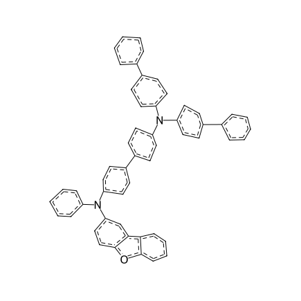 c1ccc(-c2ccc(N(c3ccc(-c4ccccc4)cc3)c3ccc(-c4ccc(N(c5ccccc5)c5ccc6oc7ccccc7c6c5)cc4)cc3)cc2)cc1